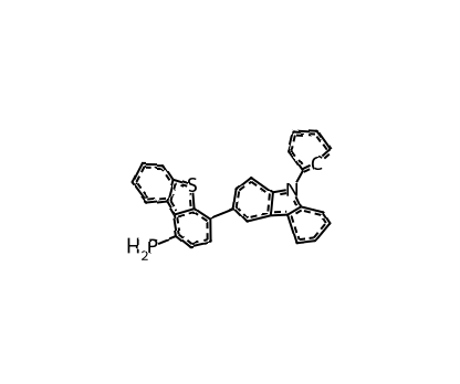 Pc1ccc(-c2ccc3c(c2)c2ccccc2n3-c2ccccc2)c2sc3ccccc3c12